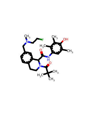 Cc1cc(NC(=O)C2c3cc(CN(C)CCF)ccc3CCN2C(=O)C(C)(C)C)c(C)c(C)c1O